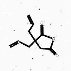 C=CCC1(CC=C)CC(=O)OC1=O